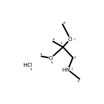 CNCC(C)(OC)OC.Cl